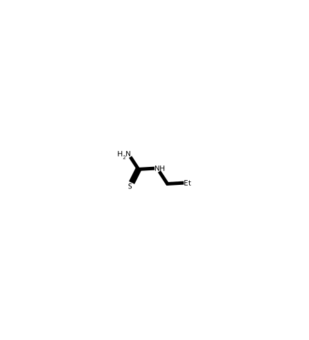 [CH2]CCNC(N)=S